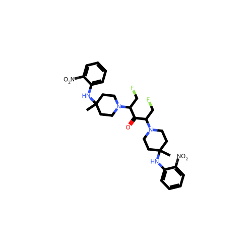 CC1(Nc2ccccc2[N+](=O)[O-])CCN(C(CF)C(=O)C(CF)N2CCC(C)(Nc3ccccc3[N+](=O)[O-])CC2)CC1